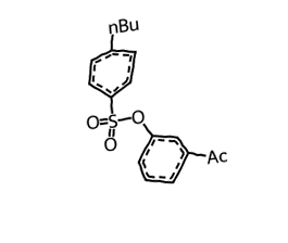 CCCCc1ccc(S(=O)(=O)Oc2cccc(C(C)=O)c2)cc1